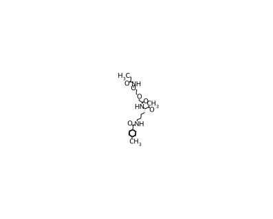 CCC(=O)NOCCOCC(=O)N[C@@H](CCCCNC(=O)c1ccc(C)cc1)C(C)=O